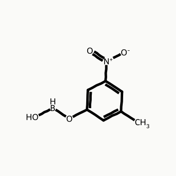 Cc1cc(OBO)cc([N+](=O)[O-])c1